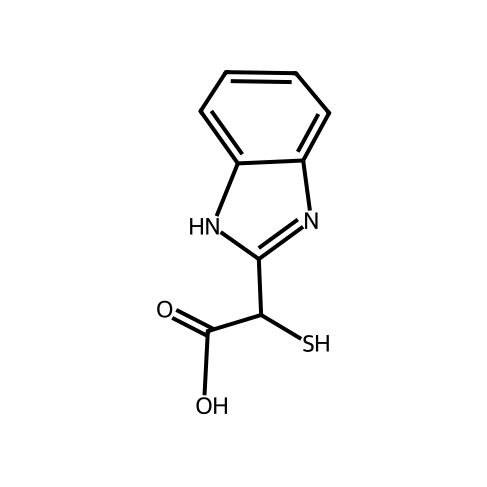 O=C(O)C(S)c1nc2ccccc2[nH]1